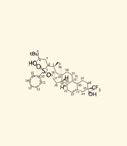 C[C@H](C(CC(O)C(C)(C)C)S(=O)(=O)c1ccccc1)[C@H]1CC[C@H]2[C@@H]3CC=C4C[C@](O)(C(F)(F)F)CC[C@]4(C)C3CC[C@]12C